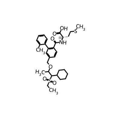 CCS(=O)(=O)C(C1CCCCC1)C(C)OCc1ccc(C(=O)N[C@@H](CCSC)C(=O)O)c(-c2ccccc2C)c1